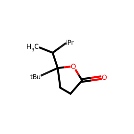 CC(C)C(C)C1(C(C)(C)C)CCC(=O)O1